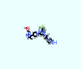 COCCn1ncc(C)c1C1CCN(c2cc(N3C[C@@H](N4CCNCC4)[C@H]3C)nc(C(F)(F)F)n2)CC1